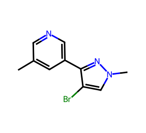 Cc1cncc(-c2nn(C)cc2Br)c1